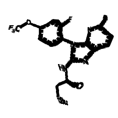 Cc1ccc2nc(NC(=O)CC(C)(C)C)n(-c3ccc(OC(F)(F)F)cc3F)c2n1